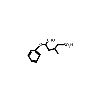 CC(CC(C=O)Oc1ccccc1)CS(=O)(=O)O